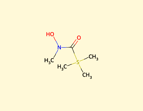 CN(O)C(=O)S(C)(C)C